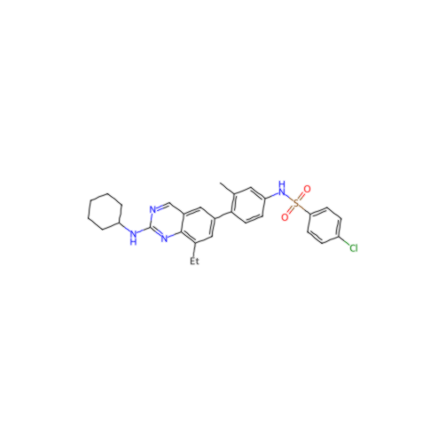 CCc1cc(-c2ccc(NS(=O)(=O)c3ccc(Cl)cc3)cc2C)cc2cnc(NC3CCCCC3)nc12